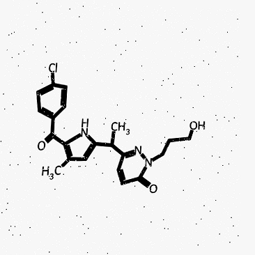 Cc1cc(C(C)c2ccc(=O)n(CCCO)n2)[nH]c1C(=O)c1ccc(Cl)cc1